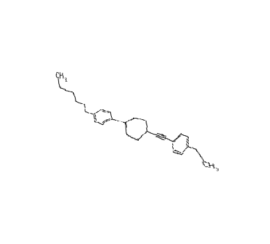 CCCCCCc1ccc(C2CCC(C#Cc3ccc(CC)cc3)CC2)cc1